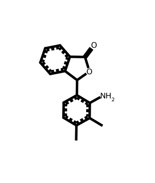 Cc1ccc(C2OC(=O)c3ccccc32)c(N)c1C